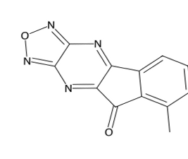 Cc1cccc2c1C(=O)c1nc3nonc3nc1-2